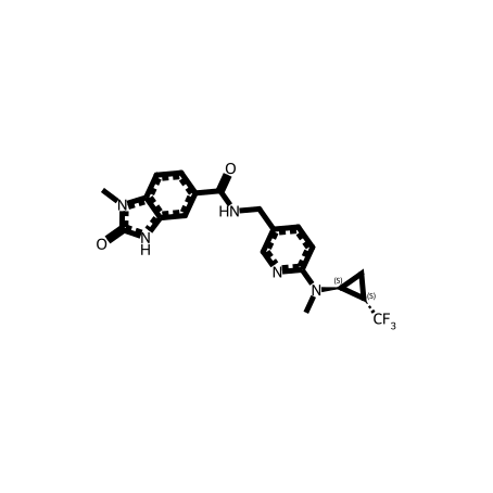 CN(c1ccc(CNC(=O)c2ccc3c(c2)[nH]c(=O)n3C)cn1)[C@H]1C[C@@H]1C(F)(F)F